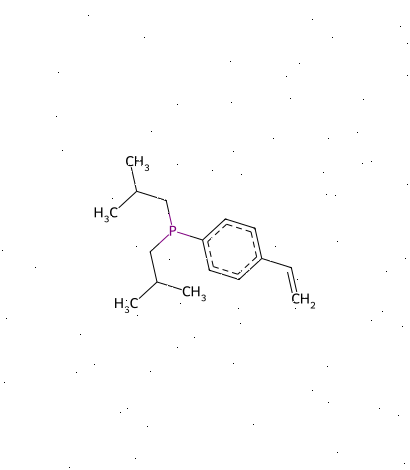 C=Cc1ccc(P(CC(C)C)CC(C)C)cc1